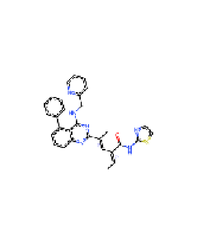 C/C=C(\C=C(/C)c1nc(NCc2ccccn2)c2c(-c3ccccc3)cccc2n1)C(=O)Nc1nccs1